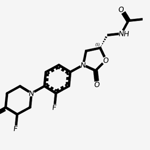 CC(=O)NC[C@H]1CN(c2ccc(N3CC/C(=C/C#N)C(F)C3)c(F)c2)C(=O)O1